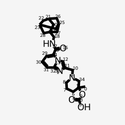 CC1(OC(=O)O)CCCN(Cc2cn3c(C(=O)NCC45CC6CC(CC(C6)C4)C5)cccc3n2)C1